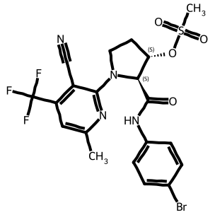 Cc1cc(C(F)(F)F)c(C#N)c(N2CC[C@H](OS(C)(=O)=O)[C@H]2C(=O)Nc2ccc(Br)cc2)n1